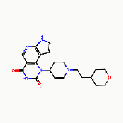 O=c1[nH]c(=O)n(C2CCN(CCC3CCOCC3)CC2)c2c1cnc1[nH]ccc12